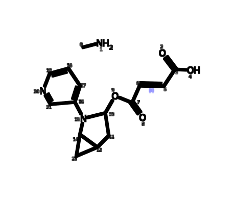 CN.O=C(O)/C=C/C(=O)OC1CC2CC2N1c1cccnc1